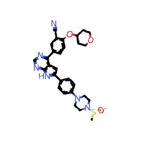 C[S+]([O-])N1CCN(c2ccc(-c3cc4c(-c5ccc(OC6CCOCC6)c(C#N)c5)ncnc4[nH]3)cc2)CC1